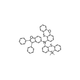 C[Si]1(C)c2ccccc2Sc2c(N(c3ccc4oc(-c5ccccc5)c(-c5ccccc5)c4c3)c3cccc4c3Sc3ccccc3O4)cccc21